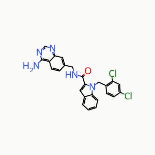 Nc1ncnc2cc(CNC(=O)c3cc4ccccc4n3Cc3ccc(Cl)cc3Cl)ccc12